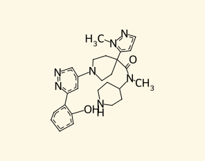 CN(C(=O)C1(c2ccnn2C)CCN(c2cnnc(-c3ccccc3O)c2)CC1)C1CCNCC1